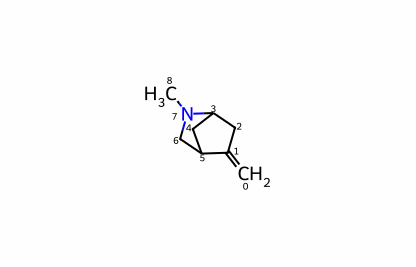 C=C1CC2CC1CN2C